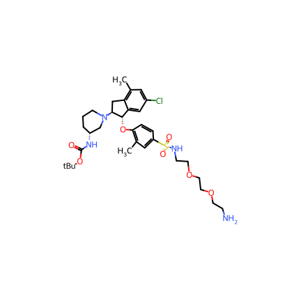 Cc1cc(S(=O)(=O)NCCOCCOCCN)ccc1O[C@H]1c2cc(Cl)cc(C)c2C[C@@H]1N1CCC[C@@H](NC(=O)OC(C)(C)C)C1